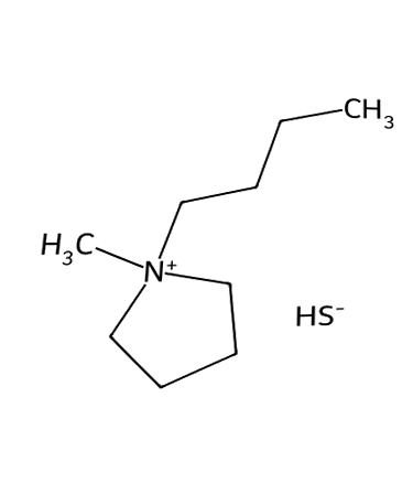 CCCC[N+]1(C)CCCC1.[SH-]